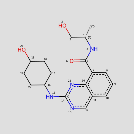 C[C@@H](CO)NC(=O)c1cccc2cnc(NC3CCC(O)CC3)nc12